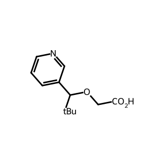 CC(C)(C)C(OCC(=O)O)c1cccnc1